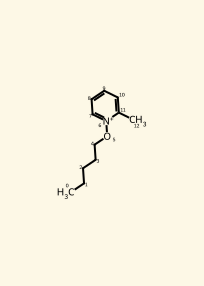 CCCCCO[n+]1ccccc1C